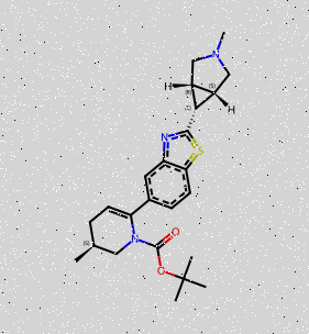 C[C@H]1CC=C(c2ccc3sc([C@@H]4[C@@H]5CN(C)C[C@@H]54)nc3c2)N(C(=O)OC(C)(C)C)C1